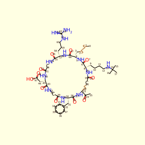 CSSC[C@@H]1NC(=O)[C@H](CCCCNC(C)(C)C)NC(=O)CSC(C(C)=O)NC(=O)[C@H](Cc2ccccc2)NC(=O)CNC(=O)[C@H](CC(=O)O)NC(=O)CNC(=O)[C@H](CCCNC(=N)N)NC1=O